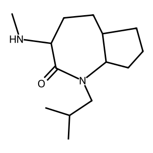 CNC1CCC2CCCC2N(CC(C)C)C1=O